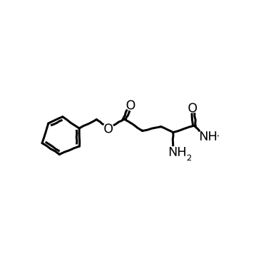 [NH]C(=O)C(N)CCC(=O)OCc1ccccc1